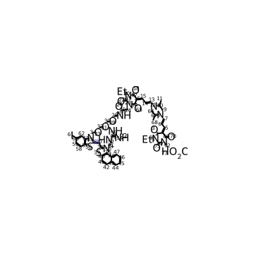 CCN1C(=O)C(=CC=CN2CC(C)N(C=CC=C3C(=O)N(CC)C(=O)N(CC(=O)NCOCOCOCN4/C(=C/c5sc6ccc7ccccc7c6[n+]5CNC(=N)N)Sc5ccc(I)cc54)C3=O)CC2C)C(=O)N(CC(=O)O)C1=O